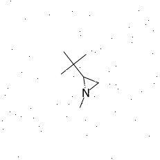 CN1CC1C(C)(C)C